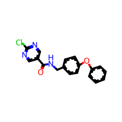 O=C(NCc1ccc(Oc2ccccc2)cc1)c1cnc(Cl)nc1